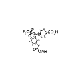 COC(=O)Cc1ccc(OS(=O)(=O)C(F)(F)F)c(CN2CCN(C(=O)O)CC2)c1